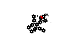 Cc1cc(-c2cc(C(F)(F)F)ccc2-n2c3ccccc3c3cc(-c4cc5c6c(c4)N(c4ccc(-c7ccccc7)cc4)c4ccc(-c7ccccc7)cc4B6c4cc(-c6ccccc6)ccc4N5c4ccc(-c5ccccc5)cc4)ccc32)cc(C(F)(F)F)c1